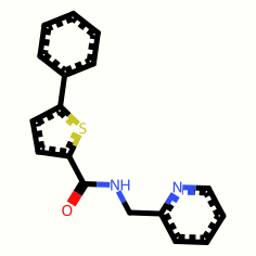 O=C(NCc1ccccn1)c1ccc(-c2ccccc2)s1